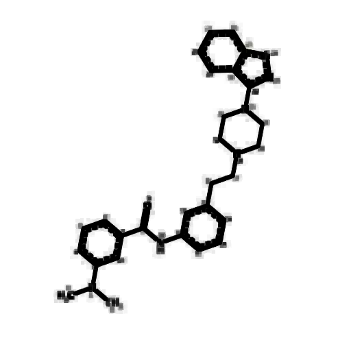 CN(C)c1cccc(C(=O)Nc2cccc(CCN3CCN(c4nsc5ccccc45)CC3)c2)c1